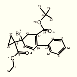 CCOC(=O)C1(C2(Br)C=CC(c3ccccc3)=C(C(=O)OC(C)(C)C)C2)CC1